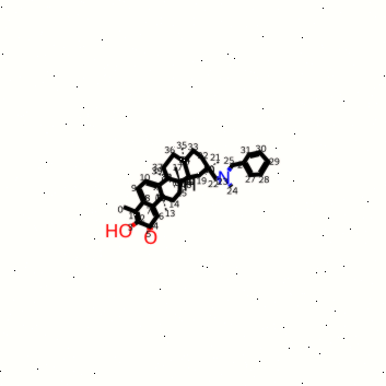 CC1=C(O)C(=O)C=C2C1=CC=C1[C@@]2(C)CC[C@@]2(C)[C@@H]3C[C@](C)(CN(C)Cc4ccccc4)CC[C@]3(C)CC[C@]12C